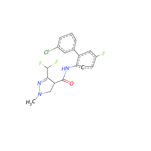 CN1CC(C(=O)Nc2ccc(F)cc2-c2cccc(Cl)c2)C(C(F)F)=N1